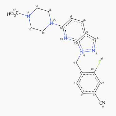 N#Cc1ccc(Cn2ncc3ccc(N4CCN(C(=O)O)CC4)nc32)c(F)c1